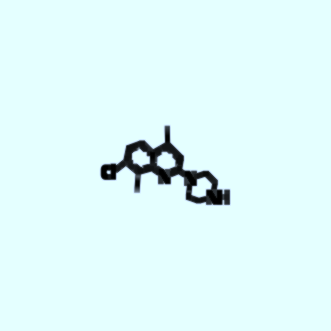 Cc1cc(N2CCNCC2)nc2c(C)c(Cl)ccc12